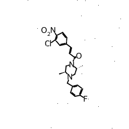 C[C@@H]1CN(Cc2ccc(F)cc2)[C@@H](C)CN1C(=O)/C=C/c1ccc([N+](=O)[O-])c(Cl)c1